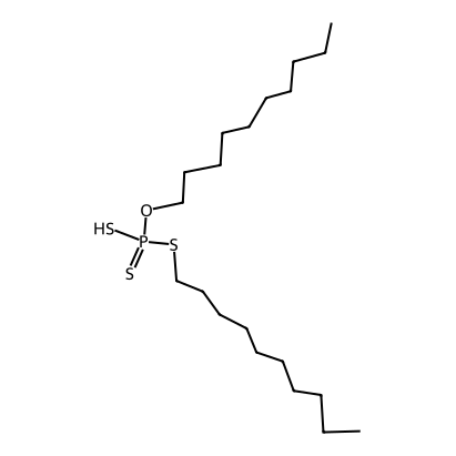 CCCCCCCCCCOP(=S)(S)SCCCCCCCCCC